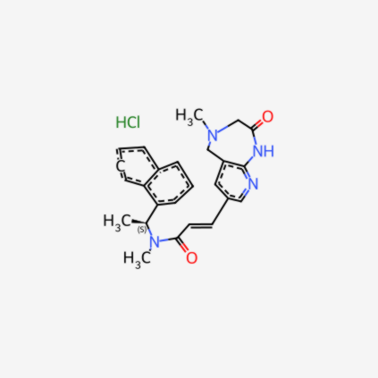 C[C@@H](c1cccc2ccccc12)N(C)C(=O)C=Cc1cnc2c(c1)CN(C)CC(=O)N2.Cl